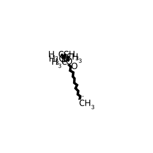 CC[CH]CCCCCCCCCC(=O)CO[Si](C)(C)C(C)(C)C